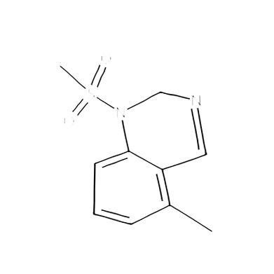 Cc1cccc2c1C=NCN2S(C)(=O)=O